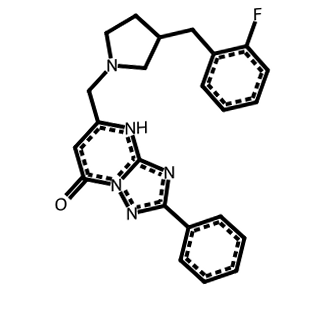 O=c1cc(CN2CCC(Cc3ccccc3F)C2)[nH]c2nc(-c3ccccc3)nn12